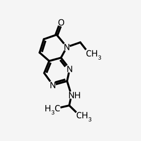 CCn1c(=O)ccc2cnc(NC(C)C)nc21